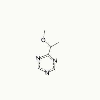 COC(C)c1ncncn1